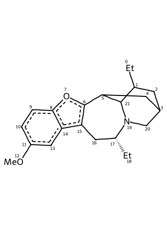 CCC1CC2CC3c4oc5ccc(OC)cc5c4C[C@@H](CC)N(C2)C13